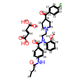 CCCC(=O)Nc1ccc(C(=O)N(CCN2CCC(C(=O)c3ccc(F)cc3)CC2)c2ccccc2OC)cc1.O=C(O)C=CC(=O)O